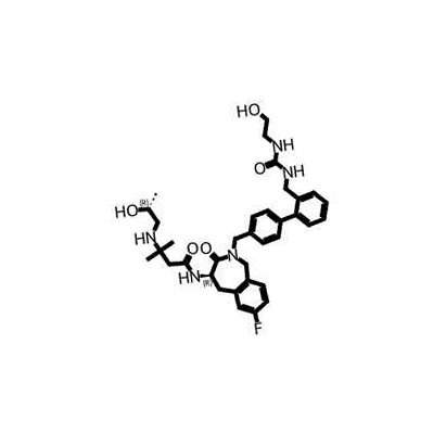 C[C@@H](O)CNC(C)(C)CC(=O)N[C@@H]1Cc2cc(F)ccc2CN(Cc2ccc(-c3ccccc3CNC(=O)NCCO)cc2)C1=O